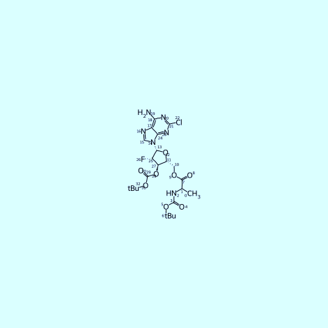 CC(NC(=O)OC(C)(C)C)C(=O)OC[C@H]1O[C@@H](n2cnc3c(N)nc(Cl)nc32)[C@@H](F)[C@@H]1OC(=O)OC(C)(C)C